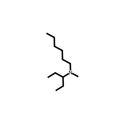 CCCCCCN(C)C(CC)CC